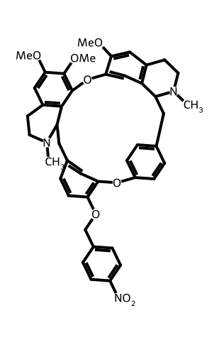 COc1cc2c3cc1Oc1c(OC)c(OC)cc4c1C(Cc1ccc(OCc5ccc([N+](=O)[O-])cc5)c(c1)Oc1ccc(cc1)CC3N(C)CC2)N(C)CC4